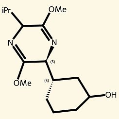 COC1=N[C@@H]([C@H]2CCCC(O)C2)C(OC)=NC1C(C)C